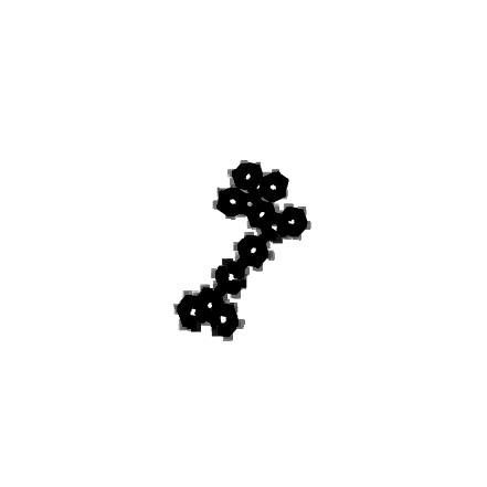 c1ccc(C2(c3ccccc3)c3ccccc3-c3cc4c(-c5ccc(-c6ncc(-c7cc8cccnc8c8ncccc78)cn6)cc5)nc5ccccc5c4cc32)cc1